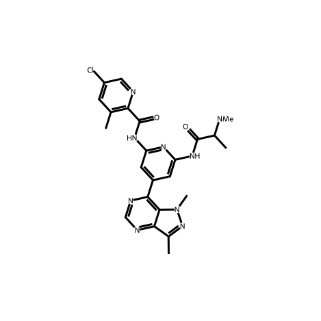 CNC(C)C(=O)Nc1cc(-c2ncnc3c(C)nn(C)c23)cc(NC(=O)c2ncc(Cl)cc2C)n1